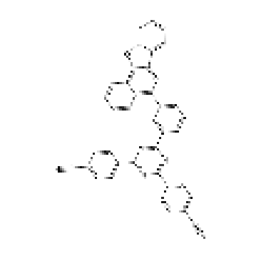 N#Cc1ccc(-c2nc(-c3ccc(C#N)cc3)nc(-c3cccc(-c4cc5c6ccccc6oc5c5ccccc45)c3)n2)cc1